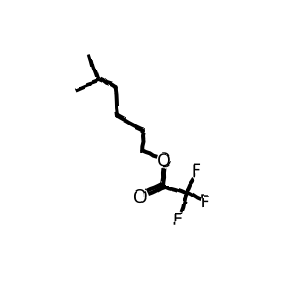 CC(C)CCCCOC(=O)C(F)(F)F